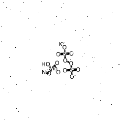 O=S(=O)([O-])OOS(=O)(=O)[O-].[K+].[Na+].[O]=[Mn](=[O])(=[O])[OH]